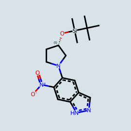 CC(C)(C)[Si](C)(C)O[C@H]1CCN(c2cc3cn[nH]c3cc2[N+](=O)[O-])C1